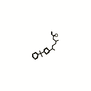 C=CC(=O)CC(C)CCC(C)c1ccc(C(C)(C)c2ccccc2)cc1